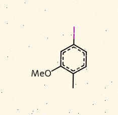 COc1cc(I)ccc1C